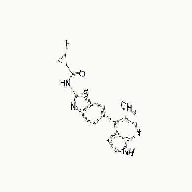 Cc1cnc2[nH]ccc2c1-c1ccc2nc(NC(=O)C3CC3F)sc2c1